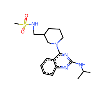 CC(C)Nc1nc(N2CCCC(CNS(C)(=O)=O)C2)c2ccccc2n1